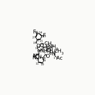 CC(=O)CN(C)C(=O)OCc1cccc2nnc([C@@H](COCc3cc(F)cc(F)c3)NC(=O)C(C)(C)N)n12